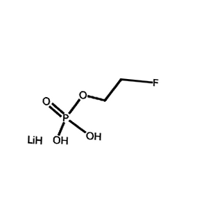 O=P(O)(O)OCCF.[LiH]